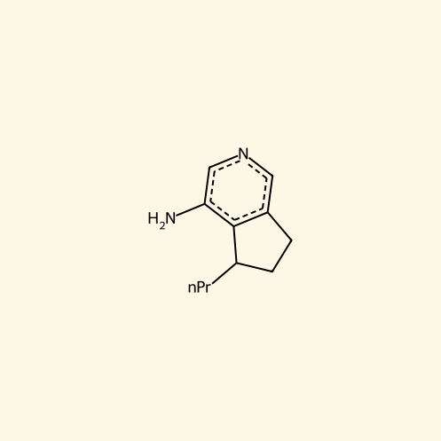 CCCC1CCc2cncc(N)c21